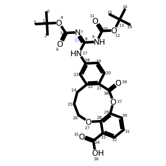 CC(C)(C)OC(=O)/N=C(/NC(=O)OC(C)(C)C)Nc1ccc2c(c1)CCCOc1c(cccc1C(=O)O)OC2=O